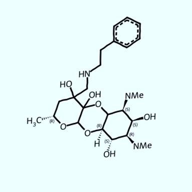 CN[C@@H]1[C@H](O)[C@H](NC)C2OC3(O)C(O[C@H](C)CC3(O)CNCCc3ccccc3)O[C@@H]2[C@H]1O